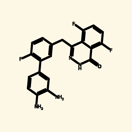 Nc1ccc(-c2cc(Cc3n[nH]c(=O)c4c(F)ccc(F)c34)ccc2F)cc1N